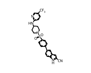 N#Cc1cc2cc(-c3ccc(S(=O)(=O)N4CCC(Nc5ccc(C(F)(F)F)cn5)CC4)cc3)ccc2[nH]1